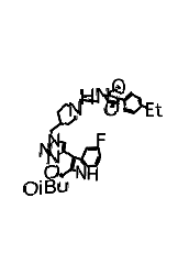 CCc1ccc(S(=O)(=O)NCCN2CCC(Cn3cc(-c4c(C(=O)OCC(C)C)[nH]c5ccc(F)cc45)nn3)CC2)cc1